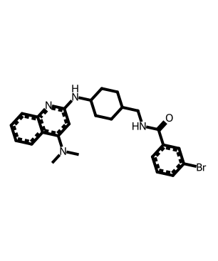 CN(C)c1cc(NC2CCC(CNC(=O)c3cccc(Br)c3)CC2)nc2ccccc12